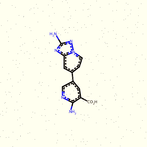 Nc1nc2cc(-c3cnc(N)c(C(=O)O)c3)ccn2n1